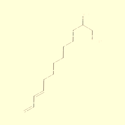 C=CC=CCCCCCCCC(CCCC)CC(=O)O